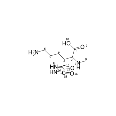 CNC(CCCCN)C(=O)O.N=C=O.N=C=O